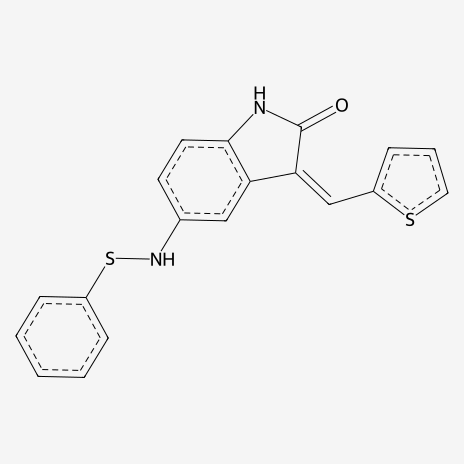 O=C1Nc2ccc(NSc3ccccc3)cc2/C1=C/c1cccs1